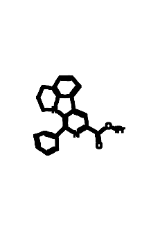 CC(C)OC(=O)c1cc2c3cccc4c3n(c2c(-c2ccccc2)n1)CCC4